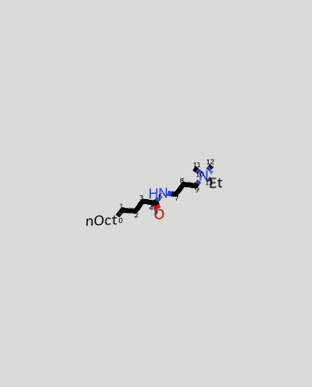 CCCCCCCCCCCC(=O)NCCC[N+](C)(C)CC